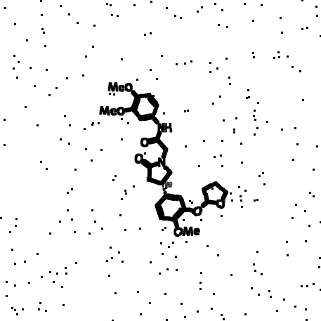 COc1ccc(NC(=O)CN2C[C@H](c3ccc(OC)c(OC4CCCO4)c3)CC2=O)cc1OC